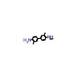 CCNc1ccc(-c2ccc(N)c(C)c2)cc1C